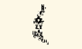 CN1C=C2N=C(N3CCN(c4c(F)cc(OCCN=[N+]=[N-])cc4F)CC3)NC(=O)N2C1